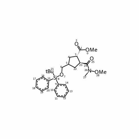 COC(=O)[C@H]1CC(CO[Si](c2ccccc2)(c2ccccc2)C(C)(C)C)C[C@@H]1C(=O)N(C)OC